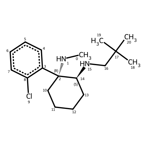 CN[C@@]1(c2ccccc2Cl)CCCC[C@@H]1NCC(C)(C)C